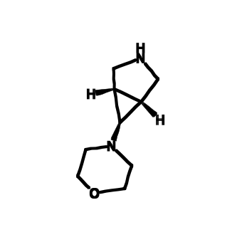 C1CN([C@H]2[C@@H]3CNC[C@@H]32)CCO1